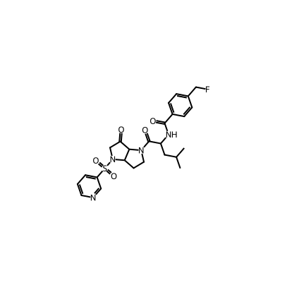 CC(C)CC(NC(=O)c1ccc(CF)cc1)C(=O)N1CCC2C1C(=O)CN2S(=O)(=O)c1cccnc1